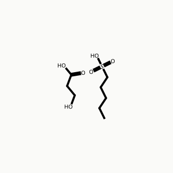 CCCCCS(=O)(=O)O.O=C(O)CCO